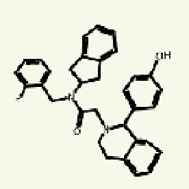 O=C(CN1CCc2ccccc2C1c1ccc(O)cc1)N(Cc1ccccc1F)C1Cc2ccccc2C1